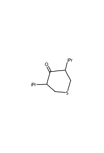 CC(C)C1CSCC(C(C)C)C1=O